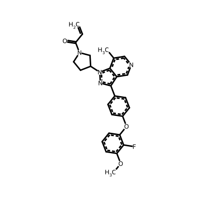 C=CC(=O)N1CCC(n2nc(-c3ccc(Oc4cccc(OC)c4F)cc3)c3cncc(C)c32)C1